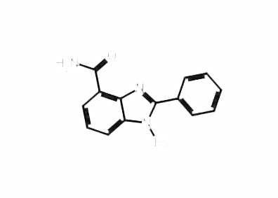 CCn1c(-c2ccccc2)nc2c(C(N)=O)cccc21